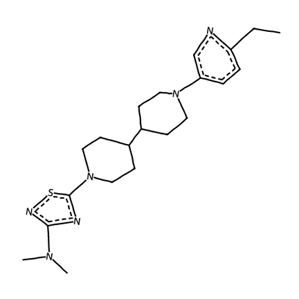 CCc1ccc(N2CCC(C3CCN(c4nc(N(C)C)ns4)CC3)CC2)cn1